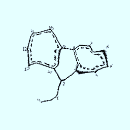 C[CH]C1c2ccccc2-c2ccccc21